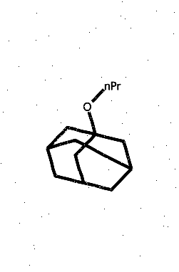 [CH2]CCOC12CC3CC(CC(C3)C1)C2